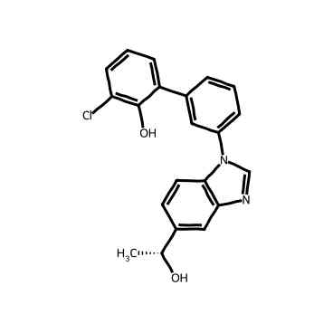 C[C@@H](O)c1ccc2c(c1)ncn2-c1cccc(-c2cccc(Cl)c2O)c1